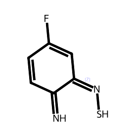 N=C1C=CC(F)=C/C1=N/S